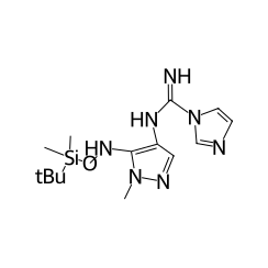 Cn1ncc(NC(=N)n2ccnc2)c1NO[Si](C)(C)C(C)(C)C